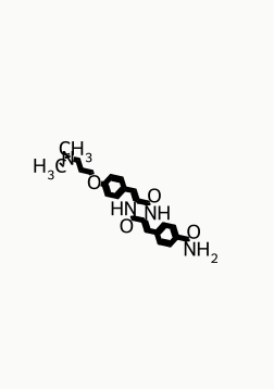 CN(C)CCCOc1ccc(/C=c2\[nH]c(=O)/c(=C/c3ccc(C(N)=O)cc3)[nH]c2=O)cc1